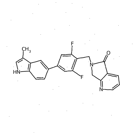 Cc1c[nH]c2ccc(-c3cc(F)c(CN4Cc5ncccc5C4=O)c(F)c3)cc12